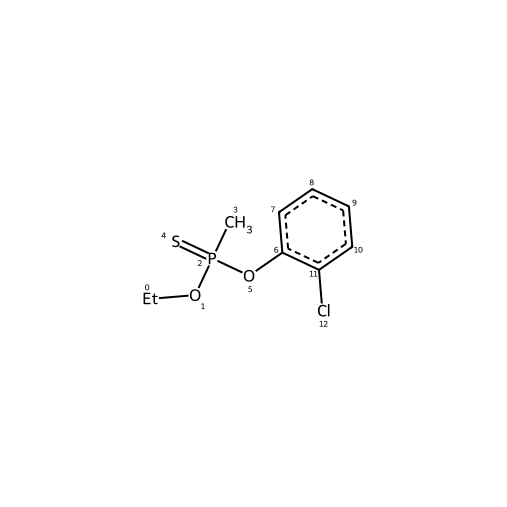 CCOP(C)(=S)Oc1ccccc1Cl